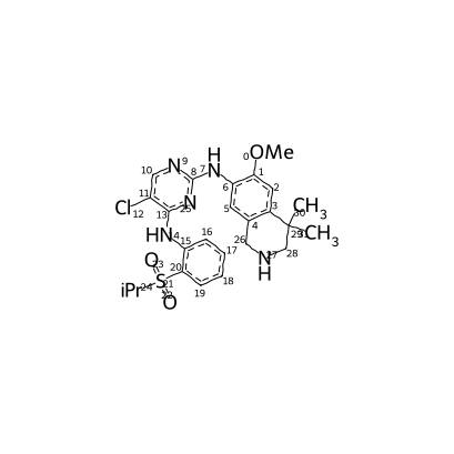 COc1cc2c(cc1Nc1ncc(Cl)c(Nc3ccccc3S(=O)(=O)C(C)C)n1)CNCC2(C)C